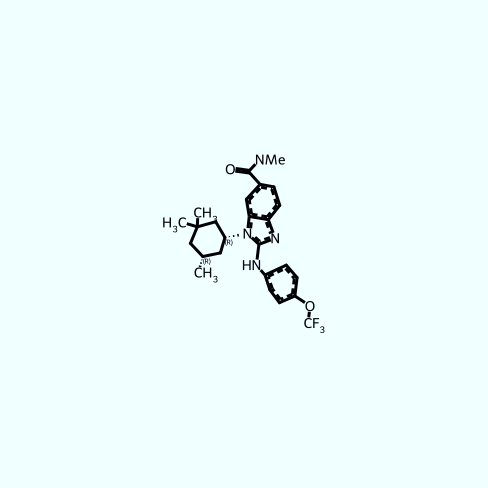 CNC(=O)c1ccc2nc(Nc3ccc(OC(F)(F)F)cc3)n([C@@H]3C[C@H](C)CC(C)(C)C3)c2c1